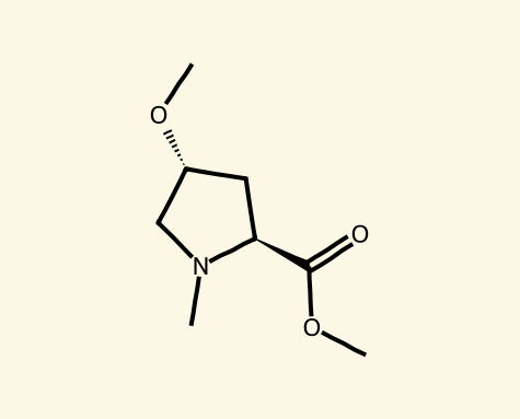 COC(=O)[C@@H]1C[C@@H](OC)CN1C